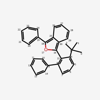 CC(C)(C)c1cccc(-c2ccccc2)c1-c1oc(-c2ccccc2)c2ccccc12